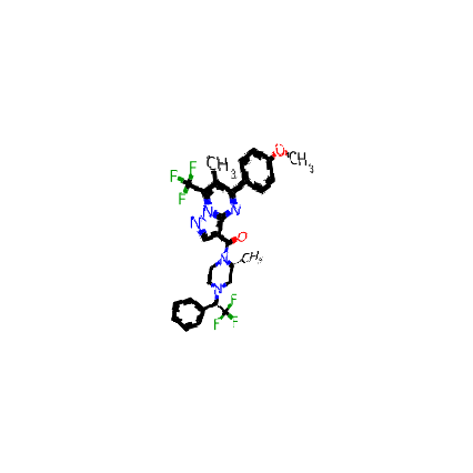 COc1ccc(-c2nc3c(C(=O)N4CCN([C@H](c5ccccc5)C(F)(F)F)C[C@H]4C)cnn3c(C(F)(F)F)c2C)cc1